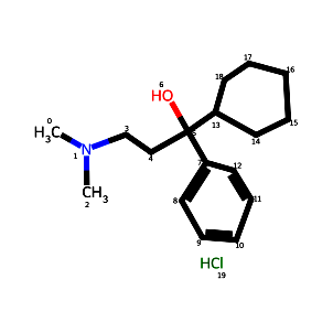 CN(C)CCC(O)(c1ccccc1)C1CCCCC1.Cl